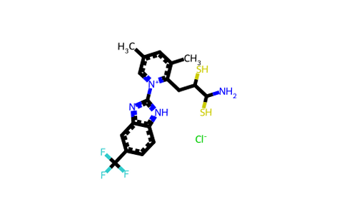 Cc1cc(C)c(CC(S)C(N)S)[n+](-c2nc3cc(C(F)(F)F)ccc3[nH]2)c1.[Cl-]